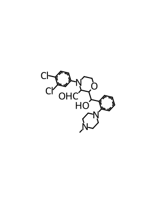 CN1CCN(c2ccccc2C(O)C2OCCN(c3ccc(Cl)c(Cl)c3)C2C=O)CC1